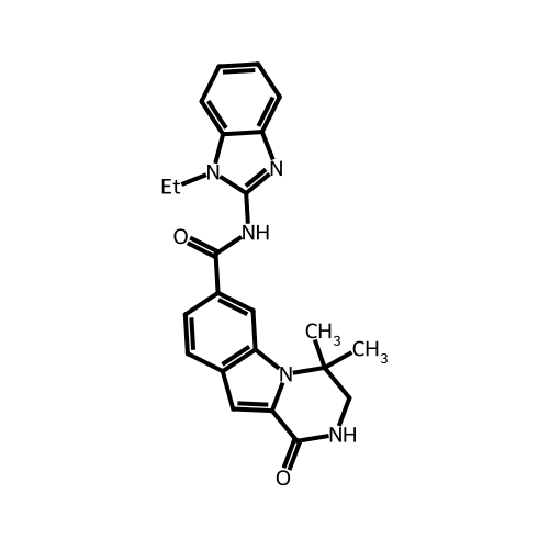 CCn1c(NC(=O)c2ccc3cc4n(c3c2)C(C)(C)CNC4=O)nc2ccccc21